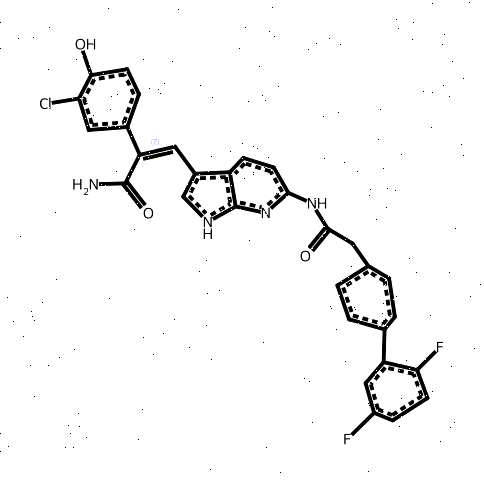 NC(=O)/C(=C\c1c[nH]c2nc(NC(=O)Cc3ccc(-c4cc(F)ccc4F)cc3)ccc12)c1ccc(O)c(Cl)c1